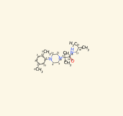 Cc1ccc(C)c(N2CCN(C(C)(C)C(=O)NCC(C)C)CC2)c1